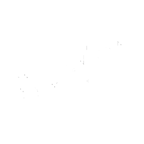 OC1C[C@@H](NCc2cccn3ccnc23)CC[C@@H]1NCc1cc2cccnc2cc1F